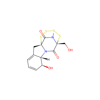 CN1C(=O)[C@]23CC4=CC=C[C@H](O)[C@H]4N2C(=O)[C@@]1(CO)SSSS3